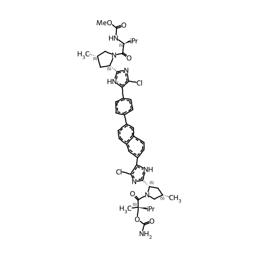 COC(=O)N[C@H](C(=O)N1C[C@@H](C)C[C@H]1c1nc(Cl)c(-c2ccc(-c3ccc4cc(-c5[nH]c([C@@H]6C[C@H](C)CN6C(=O)[C@@](C)(OC(N)=O)C(C)C)nc5Cl)ccc4c3)cc2)[nH]1)C(C)C